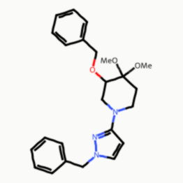 COC1(OC)CCN(c2ccn(Cc3ccccc3)n2)CC1OCc1ccccc1